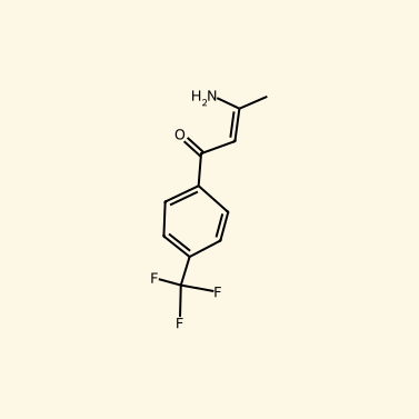 CC(N)=CC(=O)c1ccc(C(F)(F)F)cc1